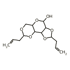 C=CCC1OCC2OC(O)C3OC(CC=C)OC3C2O1